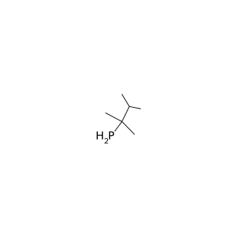 CC(C)C(C)(C)P